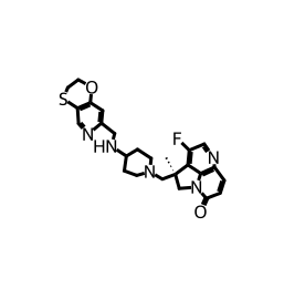 C[C@@]1(CN2CCC(NCc3cc4c(cn3)SCCO4)CC2)Cn2c(=O)ccc3ncc(F)c1c32